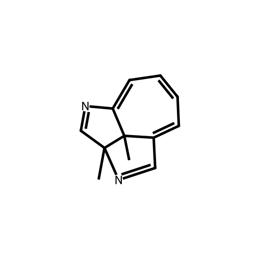 CC12C=NC3=CC=CC=C(C=N1)C32C